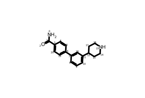 NC(=O)c1ccc(-c2cccc(C3CCNCC3)c2)cc1